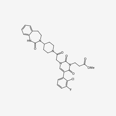 COC(=O)CCn1c(=O)c(-c2cccc(F)c2Cl)cn(CC(=O)N2CCC(N3CCc4ccccc4NC3=O)CC2)c1=O